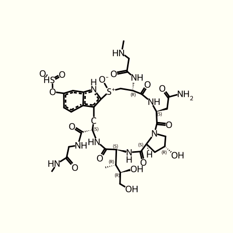 CNCC(=O)N[C@H]1C[S+]([O-])c2[nH]c3cc(O[SH](=O)=O)ccc3c2C[C@@H](C(=O)NCC(=O)NC)NC(=O)[C@H]([C@@H](C)[C@@H](O)CO)NC(=O)[C@@H]2C[C@@H](O)CN2C(=O)[C@H](CC(N)=O)NC1=O